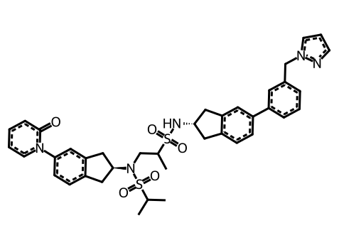 CC(CN([C@H]1Cc2ccc(-n3ccccc3=O)cc2C1)S(=O)(=O)C(C)C)S(=O)(=O)N[C@H]1Cc2ccc(-c3cccc(Cn4cccn4)c3)cc2C1